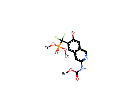 CCOP(=O)(OCC)C(F)(F)c1cc2cc(NC(=O)OC(C)(C)C)ncc2cc1Br